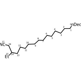 CCCCCCCCCCCCCCCCCCCCCCCC(CC)CC#N